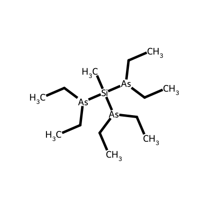 CC[As](CC)[Si](C)([As](CC)CC)[As](CC)CC